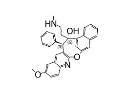 CNCC[C@@]1(O)c2cc(cc3ccccc23)Oc2nc3ccc(OC)cc3cc2[C@H]1c1ccccc1